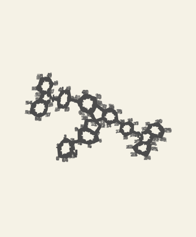 c1ccc(-c2ccc3c(c2)CC2(C3)c3cc(-c4ccc(-n5c6ccccc6c6ccccc65)cc4)ccc3-c3ccc(-c4ccc(-n5c6ccccc6c6ccccc65)cc4)cc32)nc1